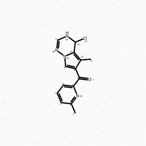 Cc1cccc(C(=O)c2cn3c(c2C)C(Cl)NC=N3)n1